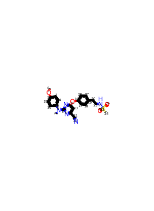 COc1ccc(N(C)c2nc(C#N)cc(Oc3ccc(CCNS(C)(=O)=O)cc3)n2)cc1